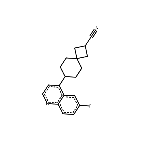 N#CC1CC2(CCC(c3ccnc4ccc(F)cc34)CC2)C1